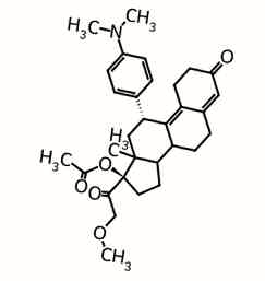 COCC(=O)[C@@]1(OC(C)=O)CCC2C3CCC4=CC(=O)CCC4=C3[C@@H](c3ccc(N(C)C)cc3)CC21C